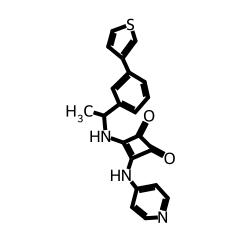 CC(Nc1c(Nc2ccncc2)c(=O)c1=O)c1cccc(-c2ccsc2)c1